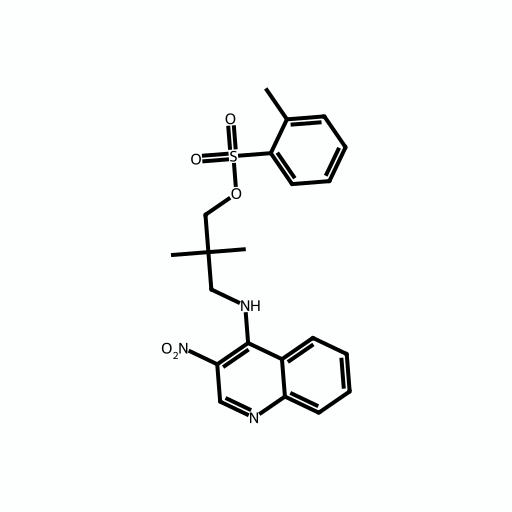 Cc1ccccc1S(=O)(=O)OCC(C)(C)CNc1c([N+](=O)[O-])cnc2ccccc12